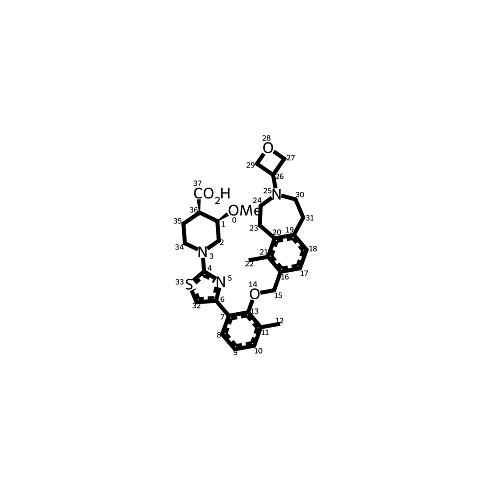 CO[C@H]1CN(c2nc(-c3cccc(C)c3OCc3ccc4c(c3C)CCN(C3COC3)CC4)cs2)CC[C@H]1C(=O)O